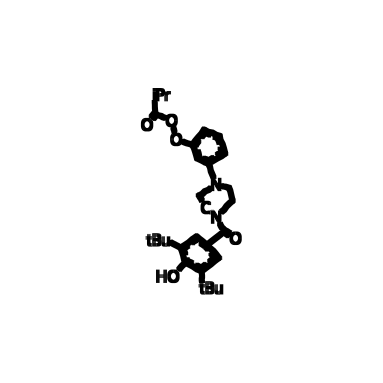 CC(C)C(=O)OOc1cccc(N2CCN(C(=O)c3cc(C(C)(C)C)c(O)c(C(C)(C)C)c3)CC2)c1